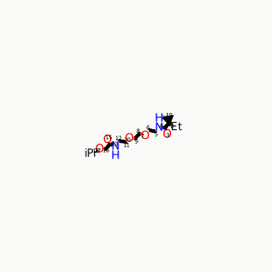 CCC1(C(=O)NCCOCCOCCNC(=O)COC(C)C)CC1